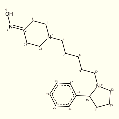 ON=C1CCN(CCCCCN2CCCC2c2ccccc2)CC1